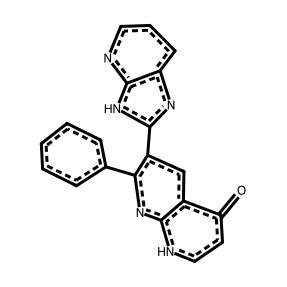 O=c1cc[nH]c2nc(-c3ccccc3)c(-c3nc4cccnc4[nH]3)cc12